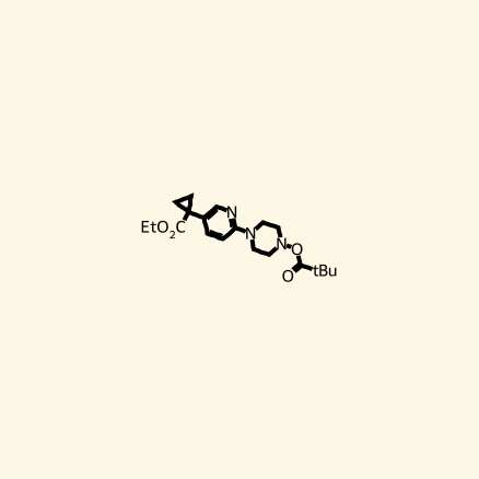 CCOC(=O)C1(c2ccc(N3CCN(OC(=O)C(C)(C)C)CC3)nc2)CC1